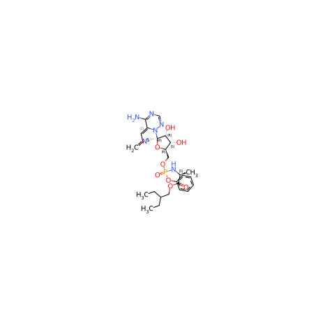 C=C/C=C1/C(N)=NC=NN1[C@]1(C#N)O[C@H](COP(=O)(N[C@@H](C)C(=O)OCC(CC)CC)Oc2ccccc2)[C@@H](O)[C@H]1O